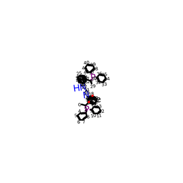 CC(P(c1ccccc1)c1ccccc1)[C]12[CH]3[CH]4[CH]5[C@@]1(N=CN[C@@]16[CH]7[CH]8[CH]9[C]1(C(C)P(c1ccccc1)c1ccccc1)[Fe]89761%10%11%12[CH]6[CH]1[CH]%10[CH]%11[CH]6%12)[Fe]43521678[CH]2[CH]1[CH]6[CH]7[CH]28